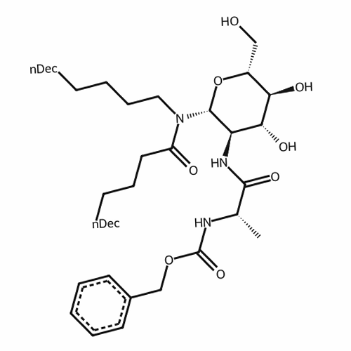 CCCCCCCCCCCCCCN(C(=O)CCCCCCCCCCCCC)[C@@H]1O[C@H](CO)[C@@H](O)[C@H](O)[C@H]1NC(=O)[C@H](C)NC(=O)OCc1ccccc1